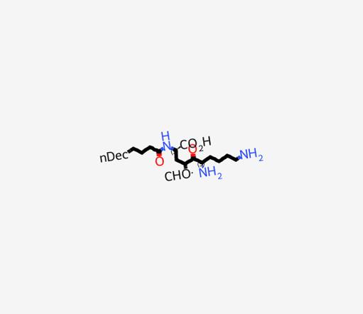 CCCCCCCCCCCCCC(=O)N[C@@H](CC([C]=O)C(=O)[C@@H](N)CCCCN)C(=O)O